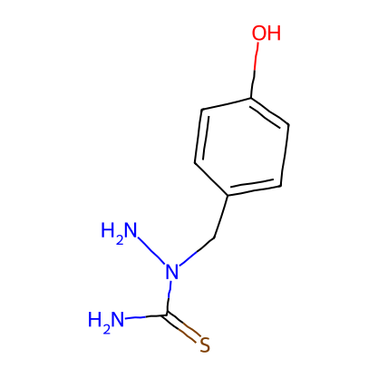 NC(=S)N(N)Cc1ccc(O)cc1